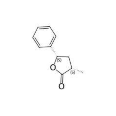 C[C@H]1C[C@@H](c2ccccc2)OC1=O